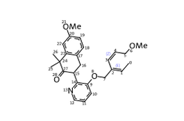 C/C=C(\C=C/COC)COc1cccnc1C1Cc2ccc(OC)cc2C(C)(C)C1=O